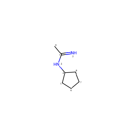 CC(=N)NC1CCCC1